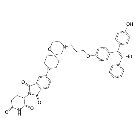 CCC(=C(c1ccc(O)cc1)c1ccc(OCCCN2CCOC3(CCN(c4ccc5c(c4)C(=O)N(C4CCC(=O)NC4=O)C5=O)CC3)C2)cc1)c1ccccc1